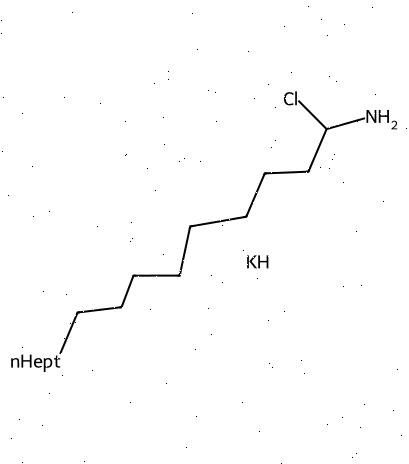 CCCCCCCCCCCCCCCC(N)Cl.[KH]